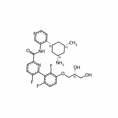 C[C@@H]1C[C@H](N)C[C@H](c2ccncc2NC(=O)c2ccc(F)c(-c3c(F)ccc(OC[C@H](O)CO)c3F)n2)C1